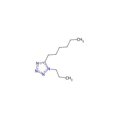 CCCCCCc1nnnn1CCC